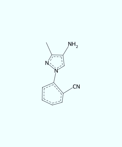 Cc1nn(-c2ccccc2C#N)cc1N